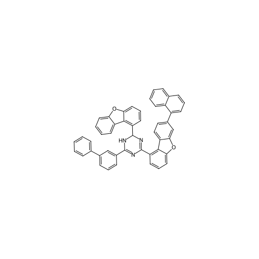 c1ccc(-c2cccc(C3=NC(c4cccc5oc6cc(-c7cccc8ccccc78)ccc6c45)=NC(c4cccc5oc6ccccc6c45)N3)c2)cc1